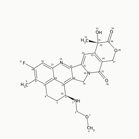 COCN[C@H]1CCc2c(C)c(F)cc3nc4c(c1c23)Cn1c-4cc2c(c1=O)COC(=O)[C@@]2(C)O